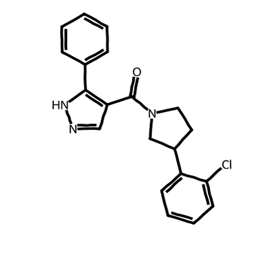 O=C(c1cn[nH]c1-c1ccccc1)N1CCC(c2ccccc2Cl)C1